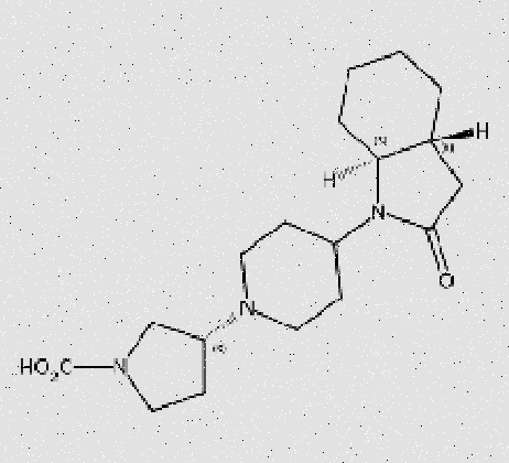 O=C(O)N1CC[C@@H](N2CCC(N3C(=O)C[C@H]4CCCC[C@@H]43)CC2)C1